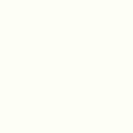 O=C(NCC1CCCCCCCCCCCCC1)c1ccccccccccccc1